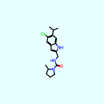 CC(C)c1cc2[nH]c(CNC(=O)N3CCCC3C)cc2cc1Cl